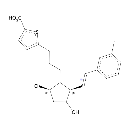 Cc1cccc(/C=C/[C@H]2C(O)C[C@@H](Cl)C2CCCc2ccc(C(=O)O)s2)c1